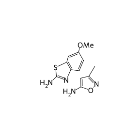 COc1ccc2nc(N)sc2c1.Cc1cc(N)on1